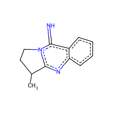 CC1CCn2c1nc1ccccc1c2=N